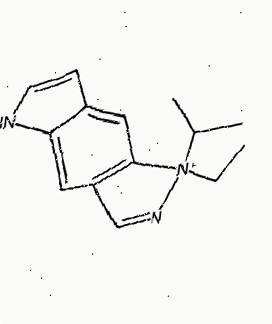 CC[N+]1(C(C)C)N=Cc2cc3[nH]ccc3cc21